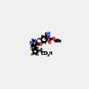 CCC1(NC(=O)OC(C)(C)C)CCC(Oc2ncnc3sc4c(c23)[C@@H](CC(=O)O)CC4)CC1